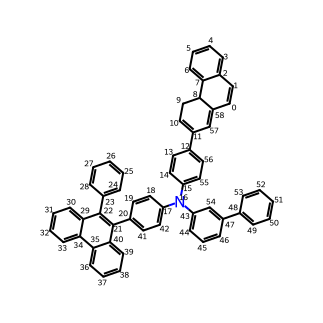 C1=Cc2ccccc2C2CC=C(c3ccc(N(c4ccc(-c5c(-c6ccccc6)c6ccccc6c6ccccc56)cc4)c4cccc(-c5ccccc5)c4)cc3)C=C12